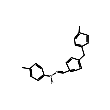 Cc1ccc(Cc2ccc(C=N[S+]([O-])c3ccc(C)cc3)cc2)cc1